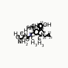 C/C(=C\C1=C(NC=O)CC2(c3cc(O)ccc3C)CCN(CC3CC3)C(C)C2C1)C(=O)NC(C)CC(N)=O